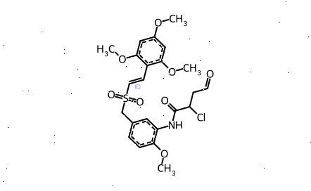 COc1cc(OC)c(/C=C/S(=O)(=O)Cc2ccc(OC)c(NC(=O)C(Cl)CC=O)c2)c(OC)c1